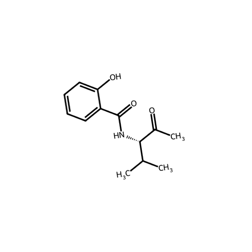 CC(=O)[C@@H](NC(=O)c1ccccc1O)C(C)C